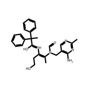 C/C(=C(CCO)/[SH]=C(\O)C(C)(c1ccccc1)c1ccccc1)N(C=O)Cc1cnc(C)nc1N